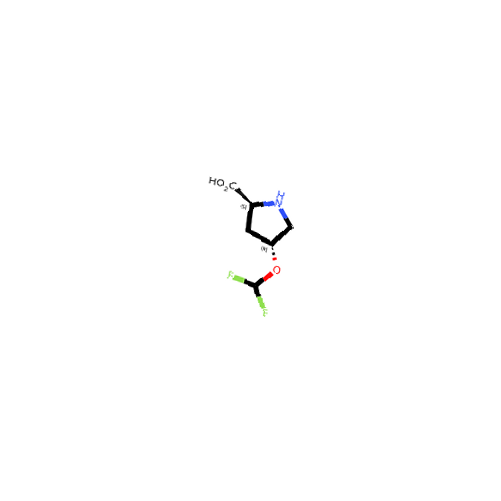 O=C(O)[C@@H]1C[C@@H](OC(F)F)CN1